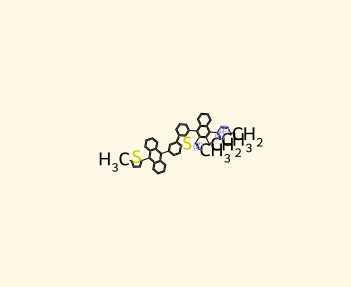 C=C/C=C\C(=C/C)c1c(C=C)c(/C=C\C)c(-c2cccc3c2sc2ccc(-c4c5ccccc5c(-c5ccc(C)s5)c5ccccc45)cc23)c2ccccc12